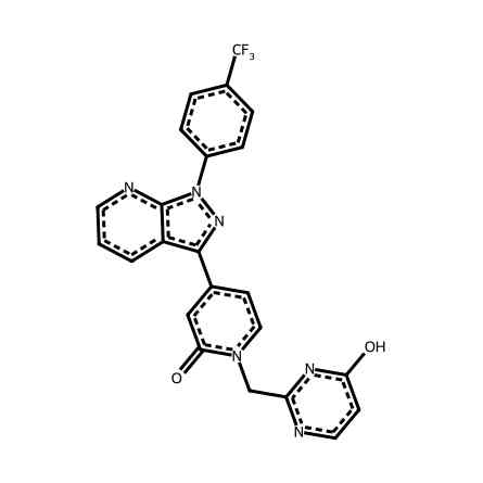 O=c1cc(-c2nn(-c3ccc(C(F)(F)F)cc3)c3ncccc23)ccn1Cc1nccc(O)n1